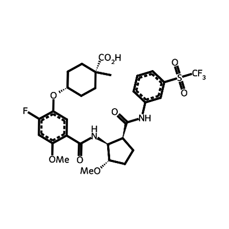 COc1cc(F)c(O[C@H]2CC[C@@](C)(C(=O)O)CC2)cc1C(=O)N[C@@H]1[C@@H](OC)CC[C@@H]1C(=O)Nc1cccc(S(=O)(=O)C(F)(F)F)c1